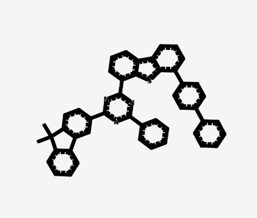 CC1(C)c2ccccc2-c2cc(-c3nc(-c4ccccc4)nc(-c4cccc5c4sc4c(-c6ccc(-c7ccccc7)cc6)cccc45)n3)ccc21